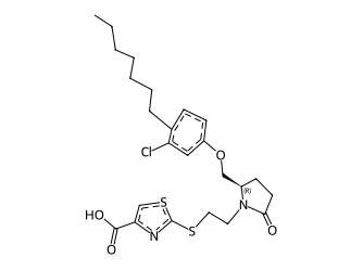 CCCCCCCc1ccc(OC[C@H]2CCC(=O)N2CCSc2nc(C(=O)O)cs2)cc1Cl